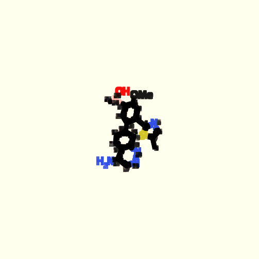 COc1cc(-c2ncc(C)s2)c(-c2ccc3c(N)cnnc3c2)cc1B(C)O